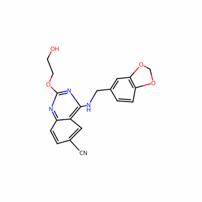 N#Cc1ccc2nc(OCCO)nc(NCc3ccc4c(c3)OCO4)c2c1